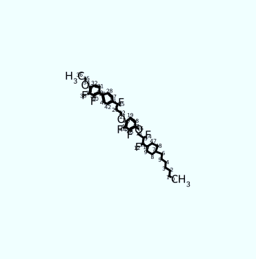 CCCCCCCC1CCC(C(F)C(F)COc2ccc(OCCC(F)c3ccc(-c4ccc(OCC)c(F)c4F)cc3)c(F)c2F)CC1